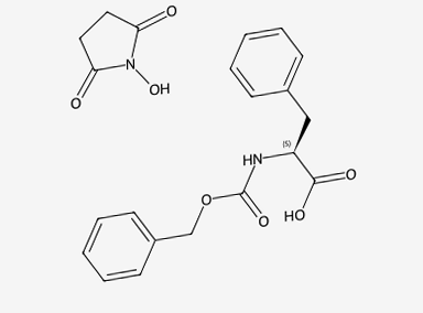 O=C(N[C@@H](Cc1ccccc1)C(=O)O)OCc1ccccc1.O=C1CCC(=O)N1O